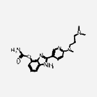 CN(C)CCCN(C)c1ccc(-c2nc3c(OC(N)=O)cccc3[nH]2)cn1